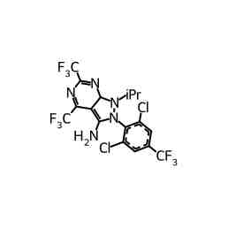 CC(C)N1C2N=C(C(F)(F)F)N=C(C(F)(F)F)C2=C(N)N1c1c(Cl)cc(C(F)(F)F)cc1Cl